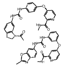 CNC(=O)c1cc(Oc2ccc(NC(=O)Nc3ccc4c(c3)N(C(C)=O)CC4)cc2)ccn1.CNC(=O)c1cc(Oc2cccc(NC(=O)Nc3ccc4nc(C)oc4c3)c2)ccn1